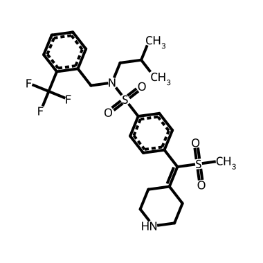 CC(C)CN(Cc1ccccc1C(F)(F)F)S(=O)(=O)c1ccc(C(=C2CCNCC2)S(C)(=O)=O)cc1